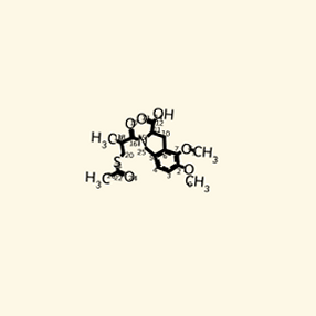 COc1ccc2c(c1OC)CC(C(=O)O)N(C(=O)C(C)CSC(C)=O)C2